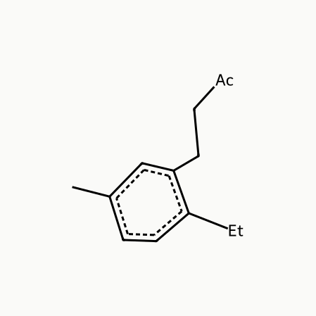 CCc1ccc(C)cc1CCC(C)=O